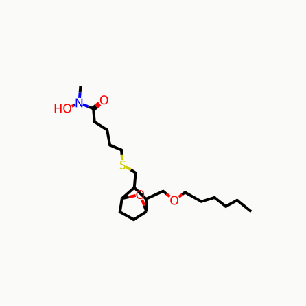 CCCCCCOCC1C2CCC(O2)C1CSCCCCC(=O)N(C)O